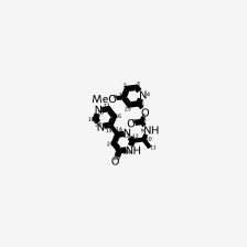 COc1ccnc(OC(=O)NC(C)c2nc(-c3ccncn3)cc(=O)[nH]2)c1